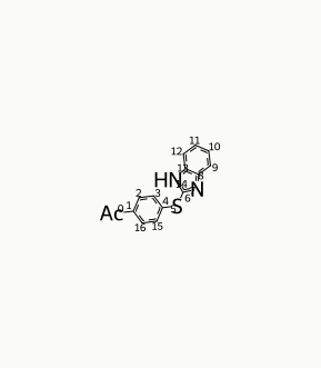 CC(=O)c1ccc(Sc2nc3ccccc3[nH]2)cc1